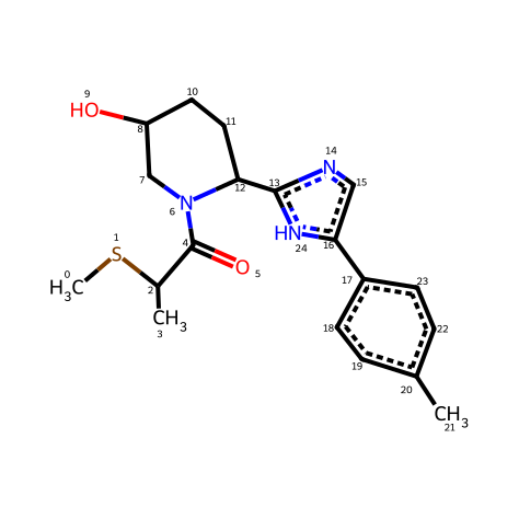 CSC(C)C(=O)N1CC(O)CCC1c1ncc(-c2ccc(C)cc2)[nH]1